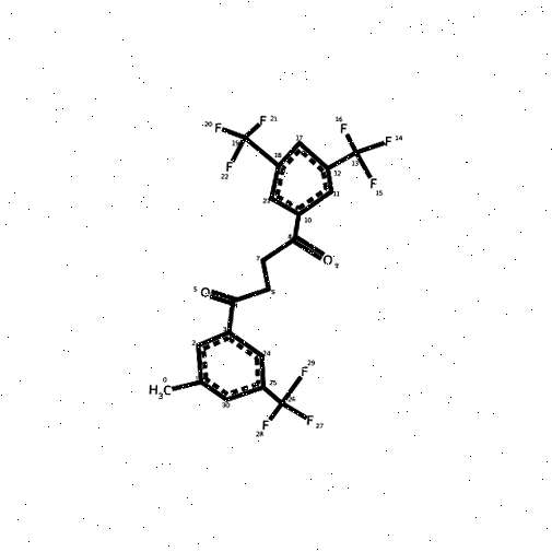 Cc1cc(C(=O)CCC(=O)c2cc(C(F)(F)F)cc(C(F)(F)F)c2)cc(C(F)(F)F)c1